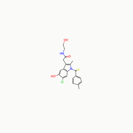 Cc1ccc(C(=S)n2c(C)c(CC(=O)NCCO)c3cc(O)c(Cl)cc32)cc1